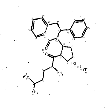 CC(N)CC[C@H](N)C(=O)N1CCCC1N(C=O)[C@@H](CC1=CC=CC=[N+]1)c1ccccc1.Cl.Cl.[Cl-]